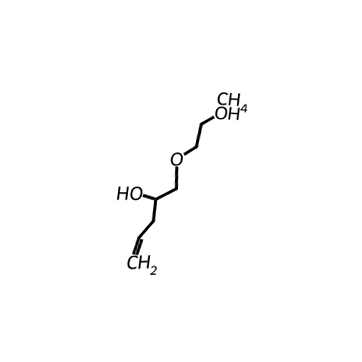 C.C=CCC(O)COCCO